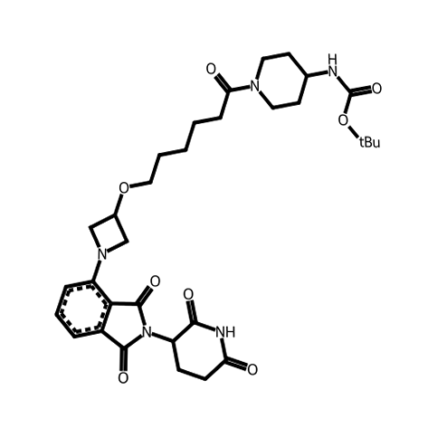 CC(C)(C)OC(=O)NC1CCN(C(=O)CCCCCOC2CN(c3cccc4c3C(=O)N(C3CCC(=O)NC3=O)C4=O)C2)CC1